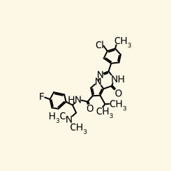 Cc1ccc(-c2nn3cc(C(=O)NC(CN(C)C)c4ccc(F)cc4)c(C(C)C)c3c(=O)[nH]2)cc1Cl